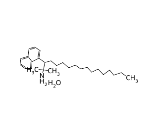 CCCCCCCCCCCCCCC(c1cccc2ccccc12)C(C)(C)N.O